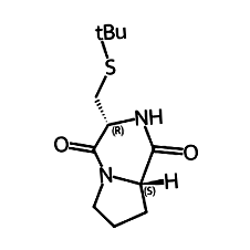 CC(C)(C)SC[C@@H]1NC(=O)[C@@H]2CCCN2C1=O